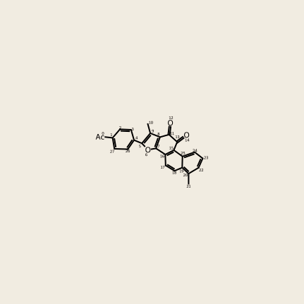 CC(=O)c1ccc(-c2oc3c(c2C)C(=O)C(=O)c2c-3ccc3c(C)cccc23)cc1